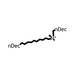 CCCCCCCCCCCCCCCCCCCC[N+](C)(C)CCCCCCCCCCCC